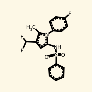 Cc1c(C(F)F)cc(NS(=O)(=O)c2ccccc2)n1-c1ccc(F)cc1